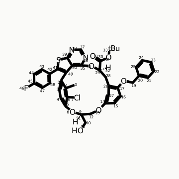 Cc1c2ccc(c1Cl)O[C@H](CO)COc1ccc(OCc3ccccc3)c(c1)C[C@H](C(=O)OC(C)(C)C)Oc1ncnc3sc(-c4ccc(F)cc4)c-2c13